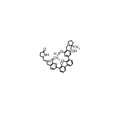 COc1nc(-c2cccc(-c3cccc(-c4cnc(CN5CCCC5(C)CO)c(OC)n4)c3Cl)c2Cl)cnc1CNCC1CCC(=O)N1